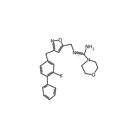 N/C(=N\Cc1cc(Cc2ccc(-c3ccccc3)c(F)c2)no1)N1CCOCC1